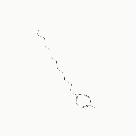 CCCCCCCCCCCCc1ccc([S])cc1